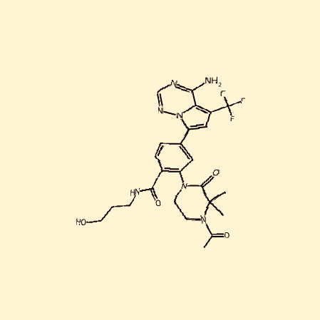 CC(=O)N1CCN(c2cc(-c3cc(C(F)(F)F)c4c(N)ncnn34)ccc2C(=O)NCCCO)C(=O)C1(C)C